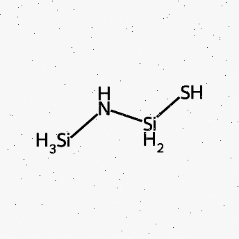 [SiH3]N[SiH2]S